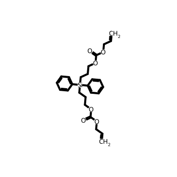 C=CCOC(=O)OCCC[Si](CCCOC(=O)OCC=C)(c1ccccc1)c1ccccc1